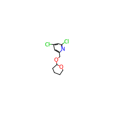 Clc1cc(Cl)nc(COC2CCCCO2)c1